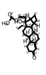 CC[C@]12CC[C@H]3[C@@H](CCC4=CC(=O)CC[C@@H]43)[C@@H]1[C@H]1CC[C@H]1[C@@]2(O)/C=C\OC(=O)O